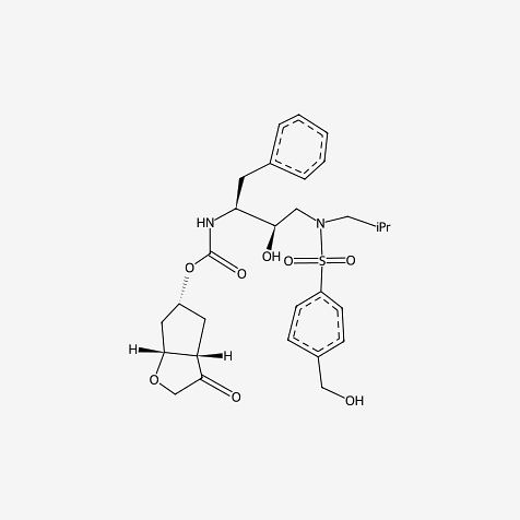 CC(C)CN(C[C@@H](O)[C@H](Cc1ccccc1)NC(=O)O[C@@H]1C[C@@H]2C(=O)CO[C@@H]2C1)S(=O)(=O)c1ccc(CO)cc1